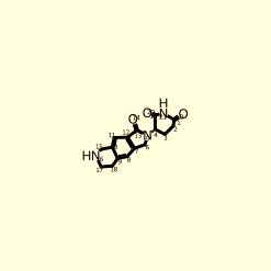 O=C1CC[C@@H](N2Cc3cc4c(cc3C2=O)CNCC4)C(=O)N1